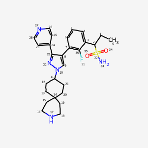 CCC(c1cccc(-c2cn(C3CCC4(CCNCC4)CC3)nc2-c2ccncc2)c1F)S(N)(=O)=O